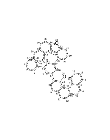 c1ccc(-c2nc(-c3ccc4ccc5ccc6cccc7c6c5c4c3O7)nc(-c3cccc4oc5ccc6ccccc6c5c34)n2)cc1